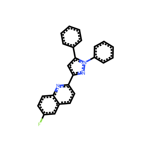 Fc1ccc2nc(-c3cc(-c4ccccc4)n(-c4ccccc4)n3)ccc2c1